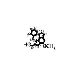 COc1cc2c(c3c1cc(CO)n3Cc1ccccc1F)CCC2